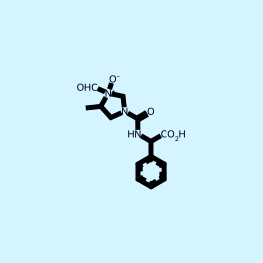 CC1CN(C(=O)NC(C(=O)O)c2ccccc2)C[N+]1([O-])C=O